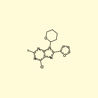 Clc1nc(I)nc2c1nc(-c1ccco1)n2C1CCCCO1